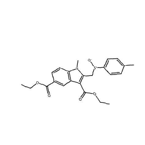 CCOC(=O)c1ccc2c(c1)c(C(=O)OCC)c(C[S+]([O-])c1ccc(C)cc1)n2C